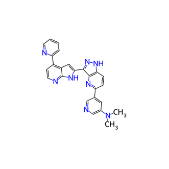 CN(C)c1cncc(-c2ccc3[nH]nc(-c4cc5c(-c6ccccn6)ccnc5[nH]4)c3n2)c1